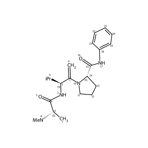 C=C([C@@H](NC(=O)[C@H](C)NC)C(C)C)N1CCC[C@H]1C(=O)Nc1ccccc1